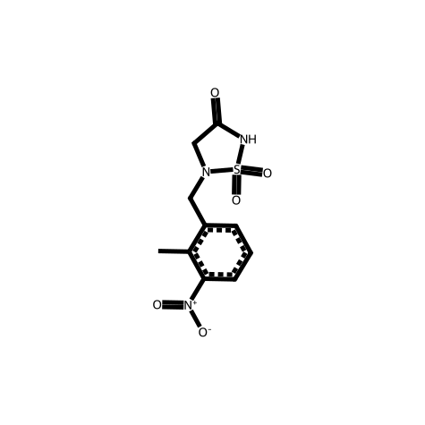 Cc1c(CN2CC(=O)NS2(=O)=O)cccc1[N+](=O)[O-]